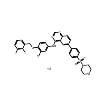 Cl.O=S(=O)(c1ccc(-c2ccc3ncnc(Nc4ccc(OCc5cccc(F)c5F)c(Cl)c4)c3c2)cc1)N1CCOCC1